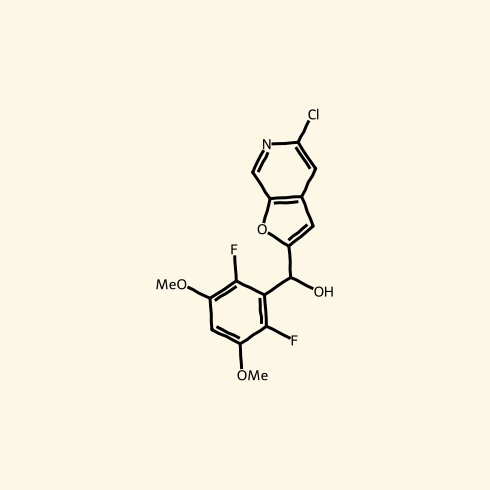 COc1cc(OC)c(F)c(C(O)c2cc3cc(Cl)ncc3o2)c1F